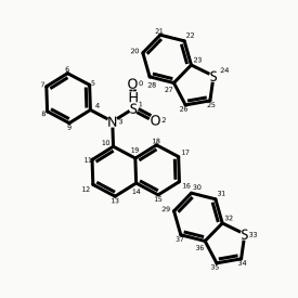 O=[SH](=O)N(c1ccccc1)c1cccc2ccccc12.c1ccc2sccc2c1.c1ccc2sccc2c1